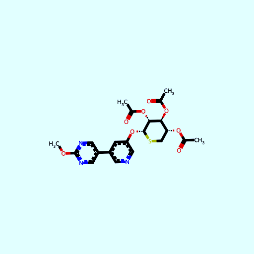 COc1ncc(-c2cncc(O[C@H]3SC[C@@H](OC(C)=O)[C@H](OC(C)=O)[C@H]3OC(C)=O)c2)cn1